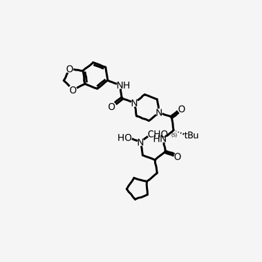 CC(C)(C)[C@H](NC(=O)C(CC1CCCC1)CN(O)C=O)C(=O)N1CCN(C(=O)Nc2ccc3c(c2)OCO3)CC1